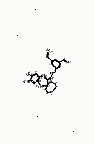 N=Cc1cc(C=N)cc(CNNC2=Nc3cc(Cl)c(Cl)cc3NC23CCCCCC3)c1